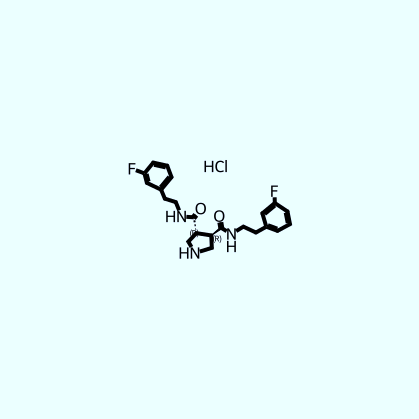 Cl.O=C(NCCc1cccc(F)c1)[C@H]1CNC[C@@H]1C(=O)NCCc1cccc(F)c1